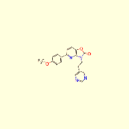 O=c1oc2ccc(-c3ccc(OC(F)(F)F)cc3)nc2n1CCc1cncnc1